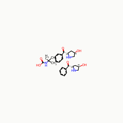 CC(C)(C)NC(=O)O.O=C(c1ccccc1)[C@@H]1C[C@@H](O)CN1.O=C(c1ccccc1)[C@@H]1C[C@@H](O)CN1